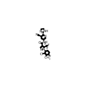 Cc1c(F)ccc(-n2ncc(C(=O)Nc3cnc(N4N=CCN4)c(C#N)c3)c2C(F)(F)F)c1Cl